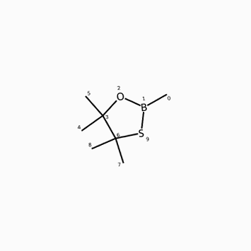 CB1OC(C)(C)C(C)(C)S1